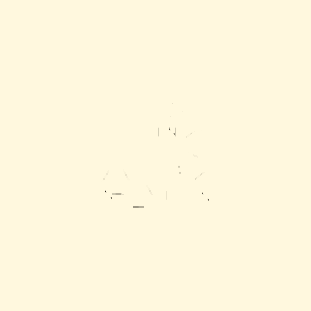 N#Cc1ccc(C(=O)NC2(CC3CCC(c4ccnc5ccc(F)cc45)CC3)CC2)cc1